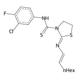 CCCCCCC=CN=C1SCCN1C(=S)Nc1ccc(F)c(Cl)c1